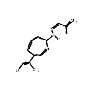 C=C(I)/C=N\N(CC)C1CC=CC(/C(C)=C/CC)C=N1